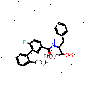 CCOC(=O)C(O)C(Cc1ccccc1)NC(=O)c1ccc(F)c(-c2ccccc2C(=O)O)c1